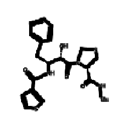 CC(C)(C)NC(=O)[C@@H]1CSCN1C(=O)[C@@H](O)[C@H](Cc1ccccc1)NC(=O)c1ccsc1